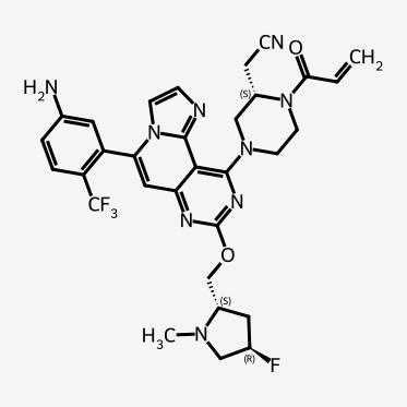 C=CC(=O)N1CCN(c2nc(OC[C@@H]3C[C@@H](F)CN3C)nc3cc(-c4cc(N)ccc4C(F)(F)F)n4ccnc4c23)C[C@@H]1CC#N